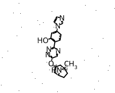 C[C@]12CCC(C[C@@H](Oc3cnc(-c4ccc(-n5ccnc5)cc4O)nn3)C1)N2